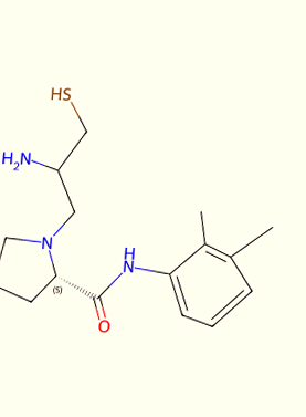 Cc1cccc(NC(=O)[C@@H]2CCCN2CC(N)CS)c1C